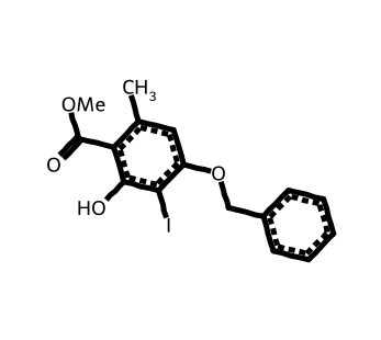 COC(=O)c1c(C)cc(OCc2ccccc2)c(I)c1O